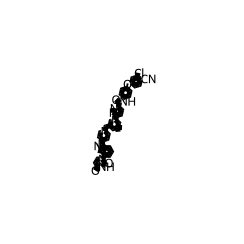 CC1(C)CC(CN2CCC(n3ncc4c(N5CCC(=O)NC5=O)cccc43)CC2)CN(c2ccc(C(=O)N[C@H]3CC[C@H](Oc4ccc(C#N)c(Cl)c4)CC3)nn2)C1